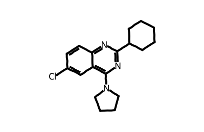 Clc1ccc2nc(C3CCCCC3)nc(N3CCCC3)c2c1